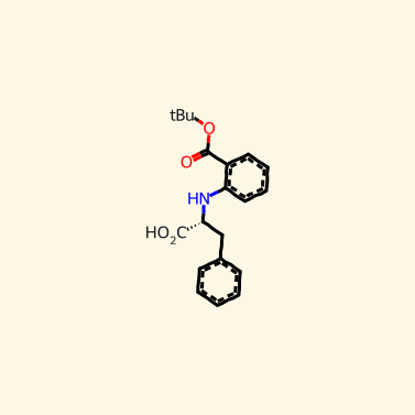 CC(C)(C)OC(=O)c1ccccc1N[C@H](Cc1ccccc1)C(=O)O